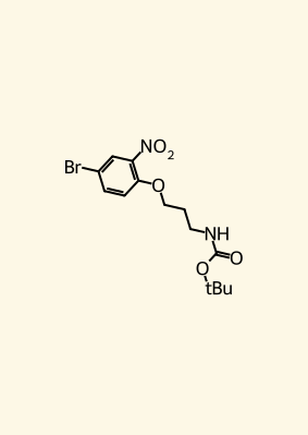 CC(C)(C)OC(=O)NCCCOc1ccc(Br)cc1[N+](=O)[O-]